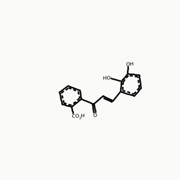 O=C(O)c1ccccc1C(=O)C=Cc1cccc(O)c1O